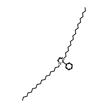 CCCCCCCCCCCCCCCCCCn1cc[n+](CCCCCCCCCCCCCCCCC)c1-c1ccccc1